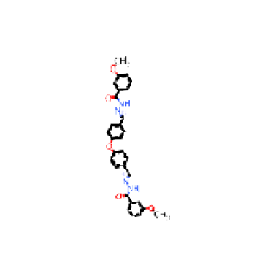 COc1cccc(C(=O)N/N=C/c2ccc(Oc3ccc(/C=N/NC(=O)c4cccc(OC)c4)cc3)cc2)c1